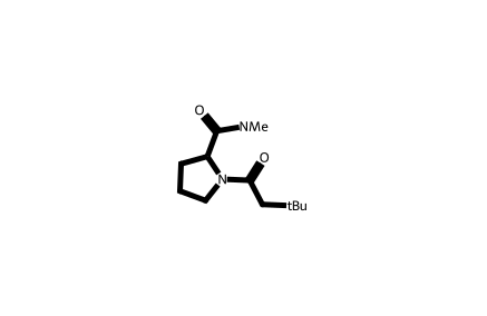 CNC(=O)C1CCCN1C(=O)CC(C)(C)C